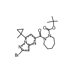 CC(C)(C)OC(=O)N1CCCCCN1C(=O)c1cc(C2(C)CC2)n2nc(Br)cc2n1